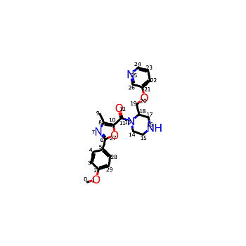 COc1ccc(-c2nc(C)c(C(=O)N3CCNCC3COc3cccnc3)o2)cc1